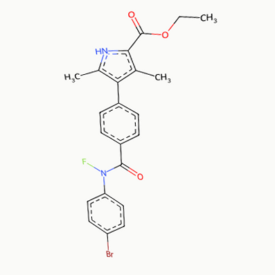 CCOC(=O)c1[nH]c(C)c(-c2ccc(C(=O)N(F)c3ccc(Br)cc3)cc2)c1C